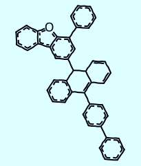 C1=CC2=C(c3ccc(-c4ccccc4)cc3)c3ccccc3C(c3cc(-c4ccccc4)c4oc5ccccc5c4c3)C2C=C1